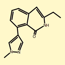 CCc1cc2cccc(-c3cnn(C)c3)c2c(=O)[nH]1